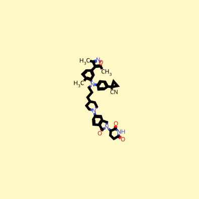 Cc1ccc(-c2c(C)noc2C)cc1N(CCCC1CCN(c2ccc3c(c2)CN(C2CCC(=O)NC2=O)C3=O)CC1)c1ccc(C2(C#N)CC2)cc1